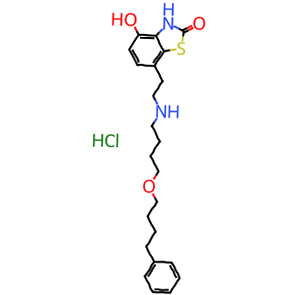 Cl.O=c1[nH]c2c(O)ccc(CCNCCCCOCCCCc3ccccc3)c2s1